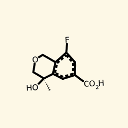 C[C@]1(O)COCc2c(F)cc(C(=O)O)cc21